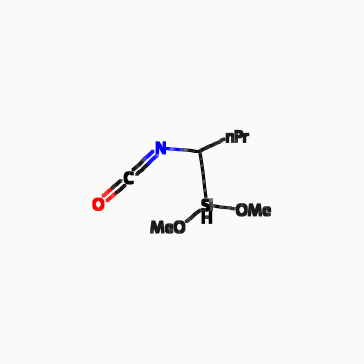 CCCC(N=C=O)[SiH](OC)OC